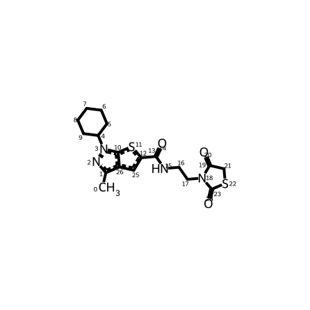 Cc1nn(C2CCCCC2)c2sc(C(=O)NCCN3C(=O)CSC3=O)cc12